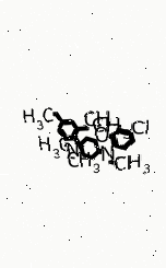 CCc1ccc(C2(N(C)C)CCC(N(CC)c3ccc(Cl)cc3OC)CC2)c(CC)c1